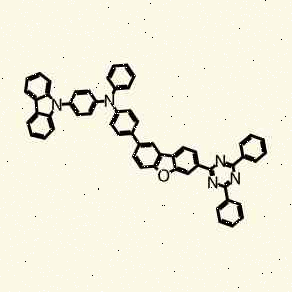 c1ccc(-c2nc(-c3ccccc3)nc(-c3ccc4c(c3)oc3ccc(-c5ccc(N(c6ccccc6)c6ccc(-n7c8ccccc8c8ccccc87)cc6)cc5)cc34)n2)cc1